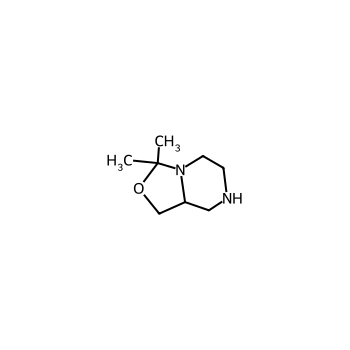 CC1(C)OCC2CNCCN21